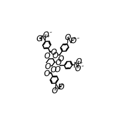 O=C(OC1COC(OC(=O)c2ccc([N+](=O)[O-])cc2)C(OC(=O)c2ccc([N+](=O)[O-])cc2)C1OC(=O)c1ccc([N+](=O)[O-])cc1)c1ccc([N+](=O)[O-])cc1